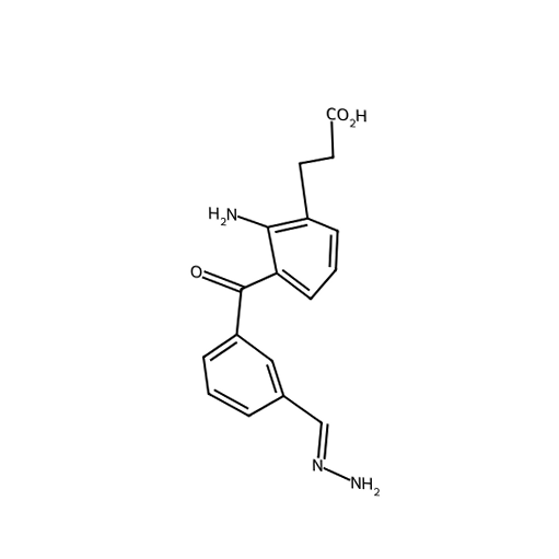 NN=Cc1cccc(C(=O)c2cccc(CCC(=O)O)c2N)c1